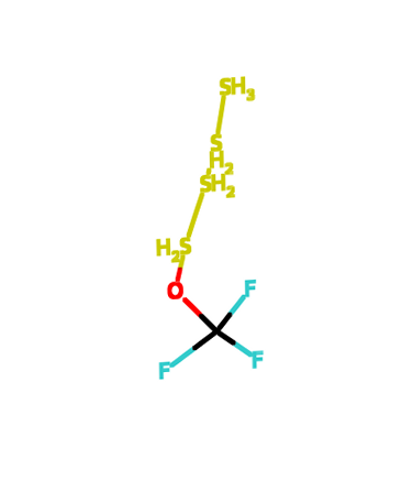 FC(F)(F)O[SH2][SH2][SH2][SH3]